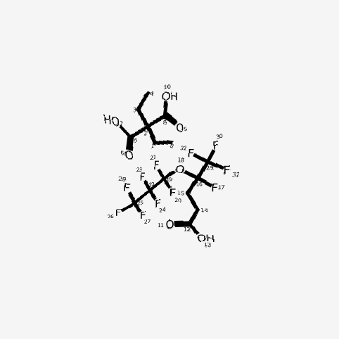 CCC(CC)(C(=O)O)C(=O)O.O=C(O)CCC(F)(OC(F)(F)C(F)(F)C(F)(F)F)C(F)(F)F